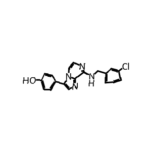 Oc1ccc(-c2cnc3c(NCc4cccc(Cl)c4)nccn23)cc1